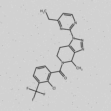 CCc1ccnc(-n2nnc3c2CCN(C(=O)c2cccc(C(F)(F)F)c2Cl)C3C)n1